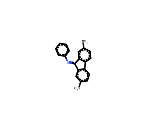 O=[N+]([O-])c1ccc2c(c1)C(=Nc1ccccc1)c1cc([N+](=O)[O-])ccc1-2